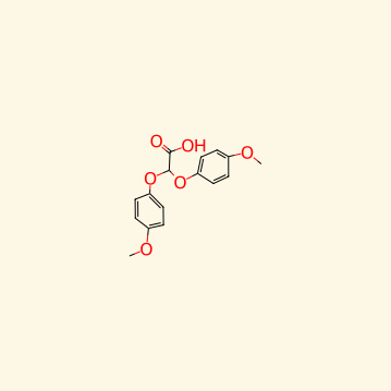 COc1ccc(OC(Oc2ccc(OC)cc2)C(=O)O)cc1